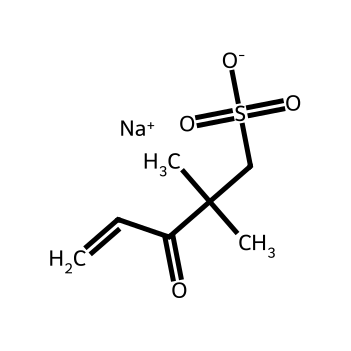 C=CC(=O)C(C)(C)CS(=O)(=O)[O-].[Na+]